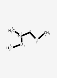 COC[SiH](C)OC